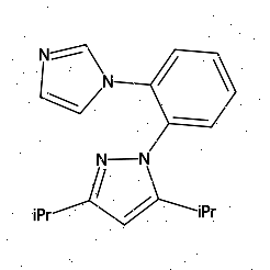 CC(C)c1cc(C(C)C)n(-c2ccccc2-n2ccnc2)n1